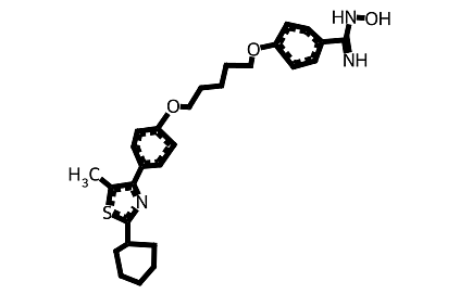 Cc1sc(C2CCCCC2)nc1-c1ccc(OCCCCCOc2ccc(C(=N)NO)cc2)cc1